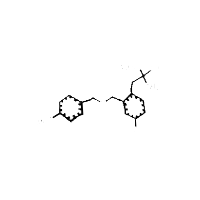 COc1ccc(COCc2cc(C)ccc2CC(C)(C)C(=O)O)cc1